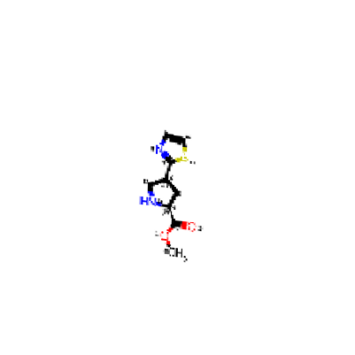 COC(=O)[C@@H]1C[C@H](c2nccs2)CN1